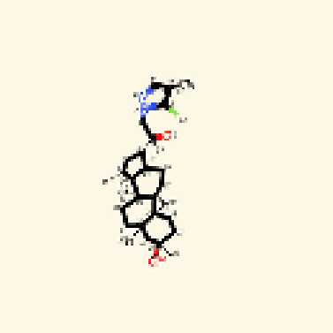 C[C@@H]1C[C@H](C(=O)Cn2ncc(C#N)c2F)[C@@]2(C)CCC3[C@@H](CC[C@@H]4C[C@](C)(O)CC[C@H]34)C12